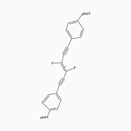 CCCCCCc1ccc(C#C/C(F)=C(\F)C#Cc2ccc(CCCCC)cc2)cc1